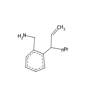 C=CC(CCC)c1ccccc1CN